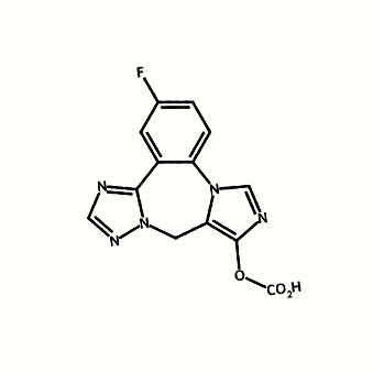 O=C(O)Oc1ncn2c1Cn1ncnc1-c1cc(F)ccc1-2